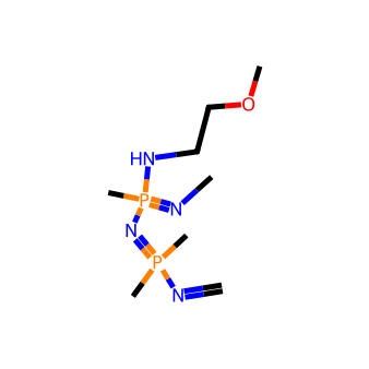 C=NP(C)(C)=NP(C)(=NC)NCCOC